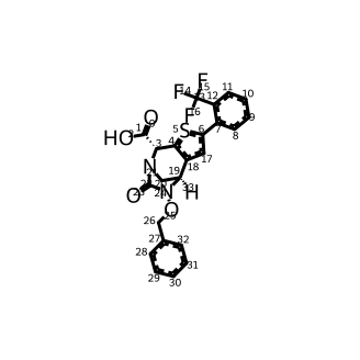 O=C(O)[C@@H]1c2sc(-c3ccccc3C(F)(F)F)cc2[C@@H]2CN1C(=O)N2OCc1ccccc1